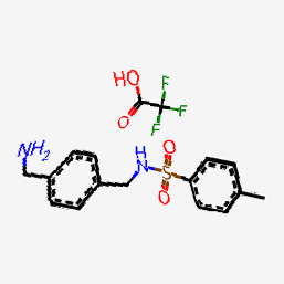 Cc1ccc(S(=O)(=O)NCc2ccc(CN)cc2)cc1.O=C(O)C(F)(F)F